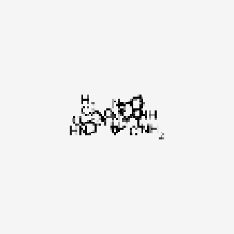 CC(CC(=O)ONC(=O)[C@@H](CC1CC1)c1c(C(N)=O)[nH]c2cccc(C#N)c12)[C@@H]1CCCNC1=O